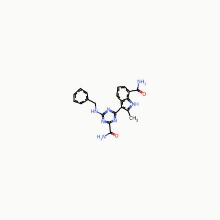 Cc1[nH]c2c(C(N)=O)cccc2c1-c1nc(NCc2ccccc2)nc(C(N)=O)n1